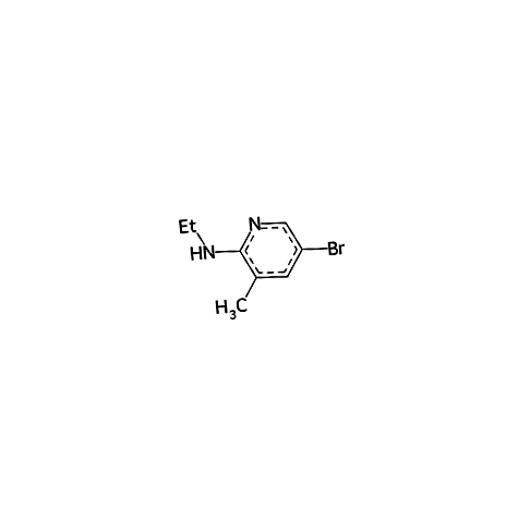 [CH2]CNc1ncc(Br)cc1C